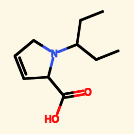 CCC(CC)N1CC=CC1C(=O)O